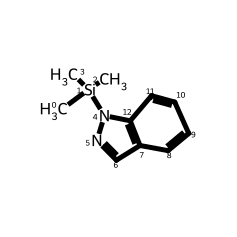 C[Si](C)(C)n1ncc2ccc[c]c21